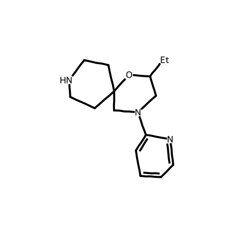 CCC1CN(c2ccccn2)CC2(CCNCC2)O1